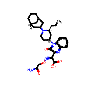 CCC[C@H]1C[C@@H](n2c(=O)c(/C(=N/OCC(N)=O)C(=O)O)nc3ccccc32)CCN1C1CC2CCC[C@H](C2)C1